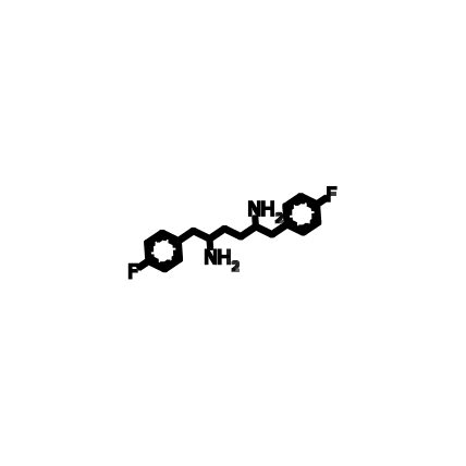 NC(CCC(N)Cc1ccc(F)cc1)Cc1ccc(F)cc1